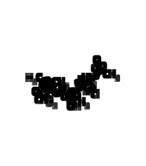 CC(=O)Oc1cc(C)cc(C)c1C(C)(C)CC(=O)O[C@H]1C[C@H](n2cnc3c(NCc4oc(=O)oc4C)nc(Cl)nc32)O[C@]1(C)CO